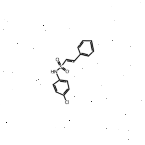 O=S(=O)(C=Cc1ccccc1)Nc1ccc(Cl)cc1